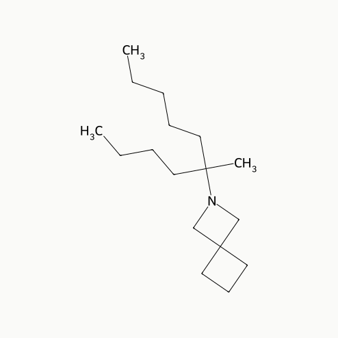 CCCCCC(C)(CCCC)N1CC2(CCC2)C1